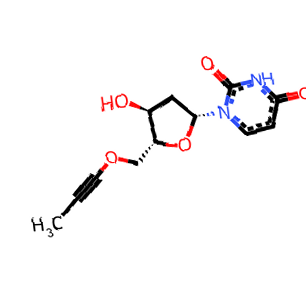 CC#COC[C@H]1O[C@@H](n2ccc(=O)[nH]c2=O)C[C@@H]1O